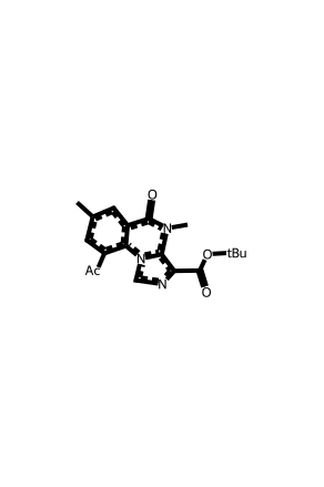 CC(=O)c1cc(C)cc2c(=O)n(C)c3c(C(=O)OC(C)(C)C)ncn3c12